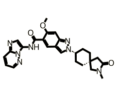 COc1cc2nn([C@H]3CC[C@]4(CC3)CC(=O)N(C)C4)cc2cc1C(=O)Nc1cnc2cccnn12